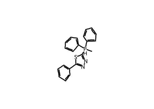 C[PH](c1ccccc1)(c1ccccc1)c1nnc(-c2ccccc2)s1